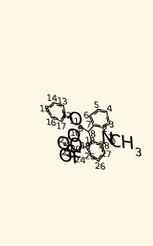 CN1c2ccccc2C(C(=O)Oc2ccccc2)c2c(OS(=O)(=O)F)cccc21